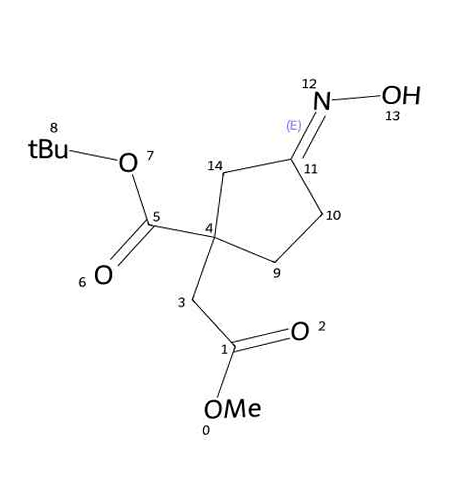 COC(=O)CC1(C(=O)OC(C)(C)C)CC/C(=N\O)C1